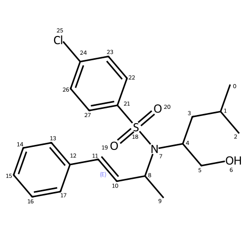 CC(C)CC(CO)N(C(C)/C=C/c1ccccc1)S(=O)(=O)c1ccc(Cl)cc1